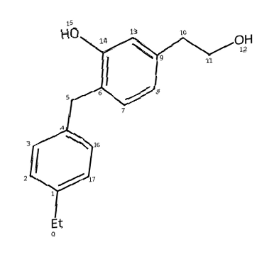 CCc1ccc(Cc2ccc(CCO)cc2O)cc1